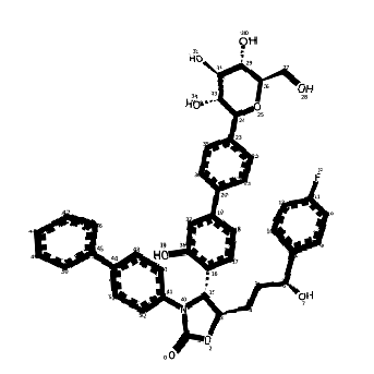 O=C1O[C@H](CC[C@H](O)c2ccc(F)cc2)[C@@H](c2ccc(-c3ccc(C4O[C@H](CO)[C@@H](O)[C@H](O)[C@H]4O)cc3)cc2O)N1c1ccc(-c2ccccc2)cc1